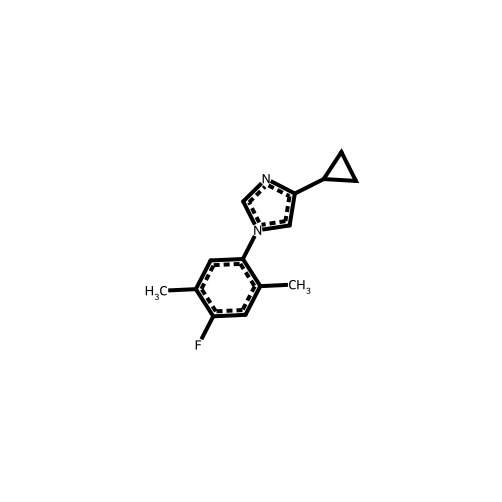 Cc1cc(-n2cnc(C3CC3)c2)c(C)cc1F